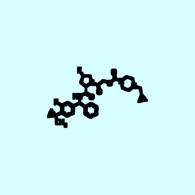 CC1(c2ccc([C@@H](NC(=O)[C@@H]3C[C@@H](F)CN3C(=O)COC(=O)N3CCN(CC4CC4)CC3)c3ccccc3)cc2F)CC1